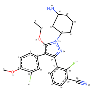 CCOc1c(-c2ccc(OC)c(F)c2)c(-c2cccc(C#N)c2F)nn1C1CCCC(N)C1